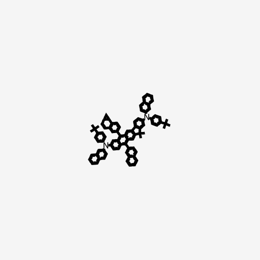 CC(C)(C)c1ccc(N(c2ccc3c(c2)C(C)(C)c2cc4c(-c5ccc6ccccc6c5)c5ccc(N(c6ccc(C(C)(C)C)cc6)c6ccc7ccccc7c6)cc5c(-c5ccc6c(c5)C=CC5CC65)c4cc2-3)c2ccc3ccccc3c2)cc1